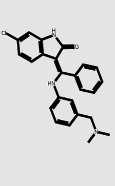 CN(C)Cc1cccc(NC(=C2C(=O)Nc3cc(Cl)ccc32)c2ccccc2)c1